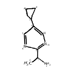 CC(N)c1ncc(C2CC2)cn1